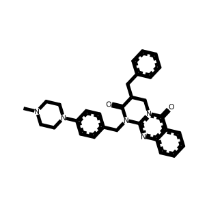 CN1CCN(c2ccc(CN3C(=O)C(Cc4ccccc4)Cn4c3nc3ccccc3c4=O)cc2)CC1